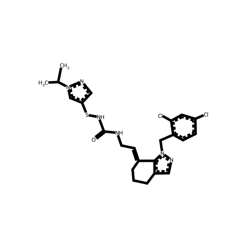 CC(C)n1cc(SNC(=O)NC/C=C2\CCCc3cnn(Cc4ccc(Cl)cc4Cl)c32)cn1